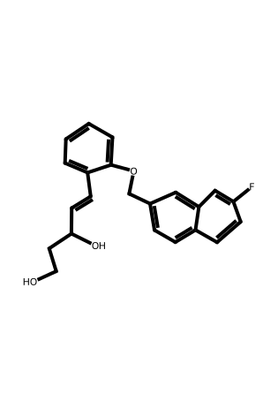 OCCC(O)C=Cc1ccccc1OCc1ccc2ccc(F)cc2c1